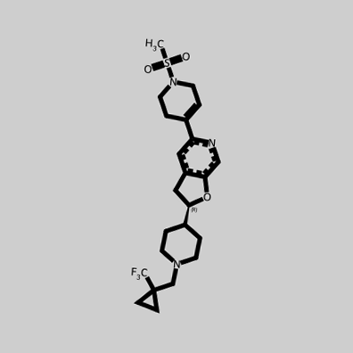 CS(=O)(=O)N1CC=C(c2cc3c(cn2)O[C@@H](C2CCN(CC4(C(F)(F)F)CC4)CC2)C3)CC1